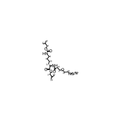 CC(C)COC(=O)NCCCC[C@H](NC(=O)CCOCCN=[N+]=[N-])C(=O)OCC(C)C